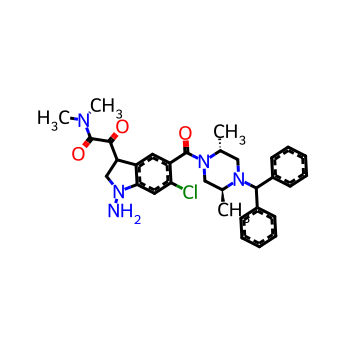 C[C@@H]1CN(C(c2ccccc2)c2ccccc2)[C@@H](C)CN1C(=O)c1cc2c(cc1Cl)N(N)CC2C(=O)C(=O)N(C)C